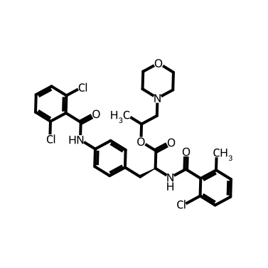 Cc1cccc(Cl)c1C(=O)N[C@@H](Cc1ccc(NC(=O)c2c(Cl)cccc2Cl)cc1)C(=O)OC(C)CN1CCOCC1